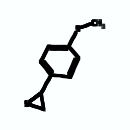 CSc1ccc(C2CS2)cc1